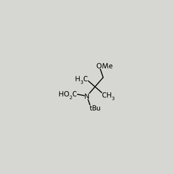 COCC(C)(C)N(C(=O)O)C(C)(C)C